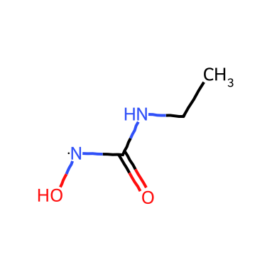 CCNC(=O)[N]O